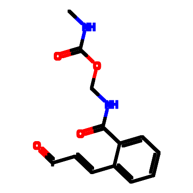 CNC(=O)OCNC(=O)c1ccccc1/C=C/[C]=O